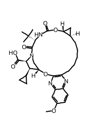 COc1ccc2nc3c(nc2c1)O[C@H]1CN(C(=O)[C@H](C(C)(C)C)NC(=O)O[C@@H]2C[C@H]2CCCCC3)[C@H](C(=O)O)[C@@H]1C1CC1